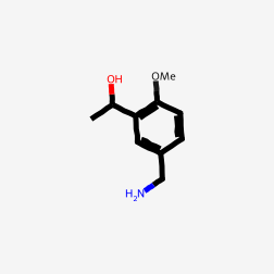 COc1ccc(CN)cc1C(C)O